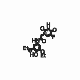 CCOc1cc(NC(=O)Cn2cc(F)c(=O)[nH]c2=O)cc(OCC)c1O